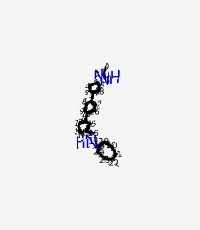 Cc1nc2ccc(-c3ccc(-c4cccc(CNC5CCCCCC5)c4)cc3)cc2[nH]1